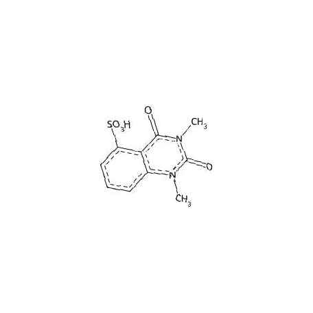 Cn1c(=O)c2c(S(=O)(=O)O)cccc2n(C)c1=O